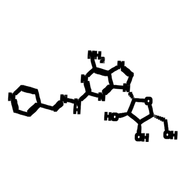 Nc1nc(N/N=C/c2ccncc2)nc2c1ncn2[C@@H]1O[C@H](CO)[C@@H](O)[C@H]1O